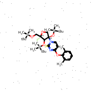 Cc1cccc(C)c1Oc1ccn([C@@]2(O[Si](C)(C)C(C)(C)C)CO[C@](F)(CO[Si](C)(C)C(C)(C)C)C2O[Si](C)(C)C(C)(C)C)c(=S)n1